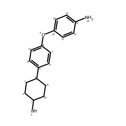 CCCC1CCC(c2ccc(Oc3ccc(N)cc3)cc2)CC1